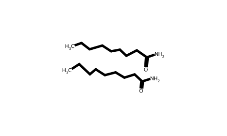 CCCCCCCCC(N)=O.CCCCCCCCC(N)=O